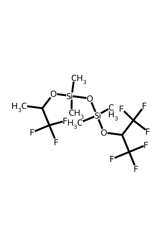 CC(O[Si](C)(C)O[Si](C)(C)OC(C(F)(F)F)C(F)(F)F)C(F)(F)F